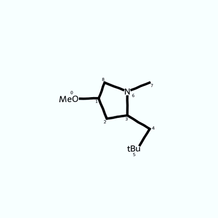 COC1CC(CC(C)(C)C)N(C)C1